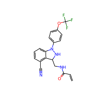 C=CC(=O)NCC1NN(c2ccc(OC(F)(F)F)cc2)c2cccc(C#N)c21